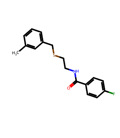 Cc1cccc(CSCCNC(=O)c2ccc(F)cc2)c1